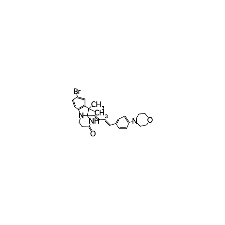 CC1(C)c2cc(Br)ccc2N2CCC(=O)NC21/C=C/C=C/c1ccc(N2CCOCC2)cc1